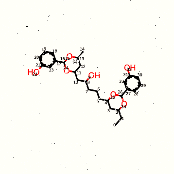 CCC1CC(CCCC(O)CC2C[C@H](C)OC(c3cccc(O)c3)O2)OC(c2cccc(O)c2)O1